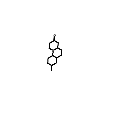 CC1CCC2C(CCC3CC(=O)CCN32)C1